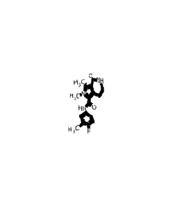 Cc1cc(NC(=O)c2c3c(c(C)n2C)C(=O)NCCC3)ccc1F